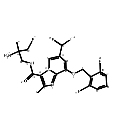 Cc1nc2c(OCc3c(F)cccc3F)cc(C(F)F)cn2c1C(=O)NCC(C)(N)CF